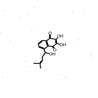 CC(C)=CCC(O)c1cccc2c1C(=O)C(O)=C(O)C2=O